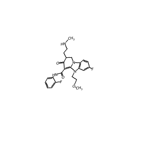 CNCCC1CN2C(=C(C(=O)Nc3ccccc3F)C1=O)N(CCOC)c1cc(F)ccc12